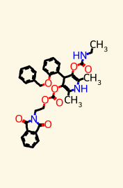 CCNC(=O)OC1=C(C)NC(C)=C(OC(=O)OCCN2C(=O)c3ccccc3C2=O)C1c1ccccc1OCc1ccccc1